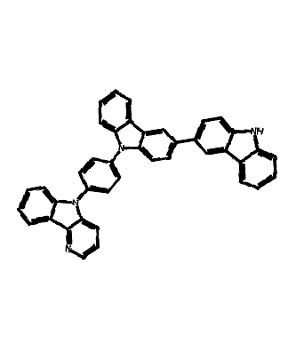 c1ccc2c(c1)[nH]c1ccc(-c3ccc4c(c3)c3ccccc3n4-c3ccc(-n4c5ccccc5c5ncccc54)cc3)cc12